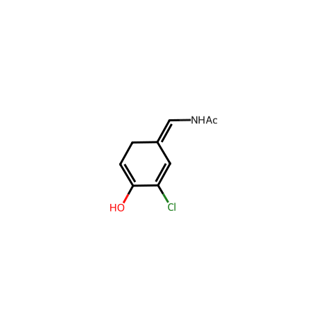 CC(=O)NC=C1C=C(Cl)C(O)=CC1